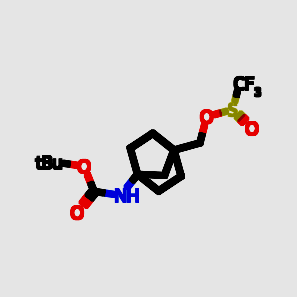 CC(C)(C)OC(=O)NC12CCC(COS(=O)C(F)(F)F)(CC1)C2